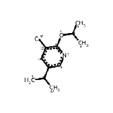 CC(C)Oc1ncc(C(C)C)cc1Cl